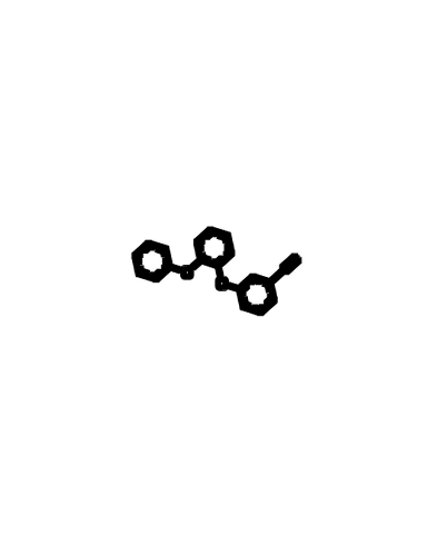 C#Cc1cccc(Oc2ccccc2Oc2ccccc2)c1